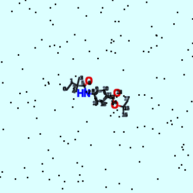 CCC(C)(C)C(=O)Nc1ccc(C(=O)OC(C)C)cc1